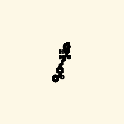 O=C(NCCCCN1CCN(C(=O)c2ccccc2)CC1)c1cc2cnccc2[nH]1